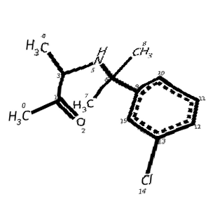 CC(=O)C(C)NC(C)(C)c1cccc(Cl)c1